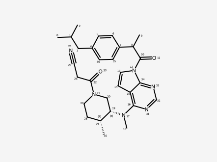 CC(C)Cc1ccc(C(C)C(=O)n2ccc3c(N(C)[C@H]4CN(C(=O)CC#N)CC[C@H]4C)ncnc32)cc1